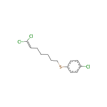 ClC(Cl)=CCCCCCSc1ccc(Cl)cc1